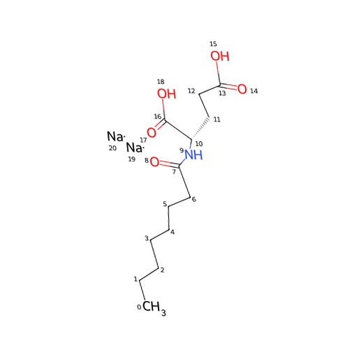 CCCCCCCC(=O)N[C@@H](CCC(=O)O)C(=O)O.[Na].[Na]